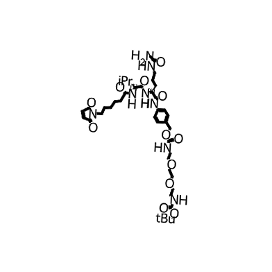 CC(C)[C@H](NC(=O)CCCCCN1C(=O)C=CC1=O)C(=O)N[C@@H](CCCNC(N)=O)C(=O)Nc1ccc(COC(=O)NCCOCCOCCNC(=O)OC(C)(C)C)cc1